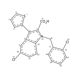 O=C(O)c1c(-c2cccs2)c2cc(Cl)ccc2n1Cc1ccccc1Cl